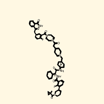 CC1(C(=O)N2CCCC(c3cccc(C(=O)N[C@@H](C(=O)NC45CCC(CN6CCC(CC(=O)N7CCN(C(=O)c8cc(Cc9n[nH]c(=O)c%10ccccc9%10)ccc8F)CC7)CC6)(CC4)OC5)C4CCCCC4)c3F)C2)CC1